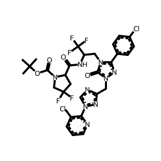 CC(C)(C)OC(=O)N1CC(F)(F)CC1C(=O)NC(Cn1c(-c2ccc(Cl)cc2)nn(Cc2ncn(-c3ncccc3Cl)n2)c1=O)C(F)(F)F